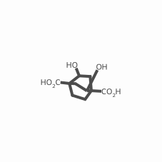 O=C(O)C12CCC(C(=O)O)(CC1O)C(O)C2